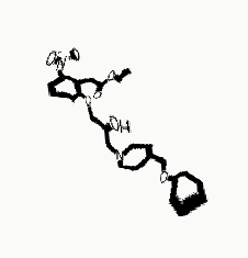 CCOC(=O)Cc1c(OCC(O)CN2CCC(COc3ccccc3)CC2)cccc1[N+](=O)[O-]